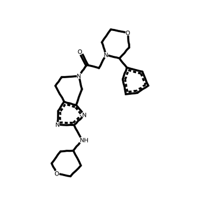 O=C(CN1CCOCC1c1ccccc1)N1CCc2cnc(NC3CCOCC3)nc2C1